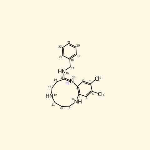 Clc1cc2c(cc1Cl)NCCCNCC/C(NCc1ccccc1)=N\2